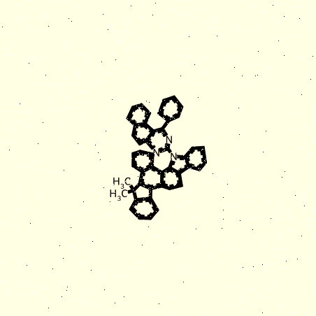 CC1(C)c2ccccc2-c2c1c1ccccc1c1c2ccc2c3ccccc3n(-c3nc(-c4ccccc4)c4c(ccc5ccccc54)n3)c21